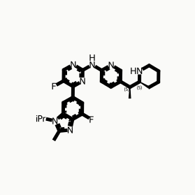 Cc1nc2c(F)cc(-c3nc(Nc4ccc([C@H](C)[C@@H]5CCCCN5)cn4)ncc3F)cc2n1C(C)C